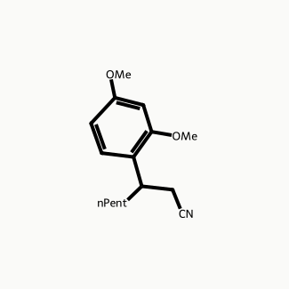 CCCCCC(CC#N)c1ccc(OC)cc1OC